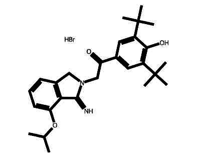 Br.CC(C)Oc1cccc2c1C(=N)N(CC(=O)c1cc(C(C)(C)C)c(O)c(C(C)(C)C)c1)C2